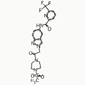 CS(=O)(=O)N1CCN(C(=O)Cn2cc3cc(NC(=O)c4cccc(C(F)(F)F)n4)ccc3n2)CC1